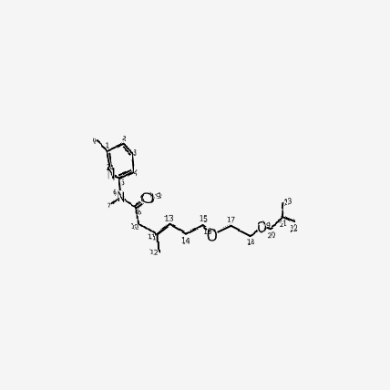 Cc1cccc(N(C)C(=O)CC(C)CCCOCCOCC(C)C)n1